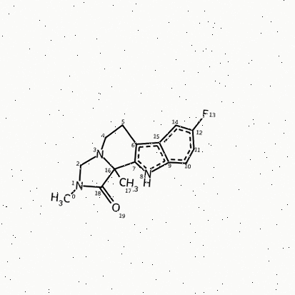 CN1CN2CCc3c([nH]c4ccc(F)cc34)C2(C)C1=O